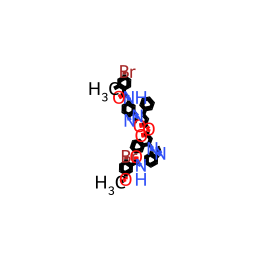 COc1ccc(Br)c(C(=O)Nc2ccc3ncn(C(CC(=O)OC(=O)CC(c4ccccc4)n4cnc5ccc(NC(=O)c6ccc(Br)cc6C)cc54)c4ccccc4)c3c2)c1